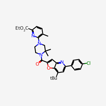 CCOC(=O)c1ccc(C)c(N2CCN(C(=O)c3cc4nc(-c5ccc(Cl)cc5)cc(C(C)(C)C)c4o3)C(C)(C)C2)n1